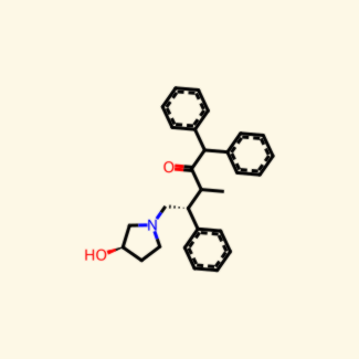 CC(C(=O)C(c1ccccc1)c1ccccc1)[C@@H](CN1CC[C@@H](O)C1)c1ccccc1